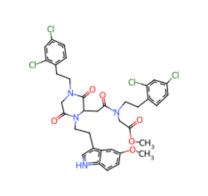 COC(=O)CN(CCc1ccc(Cl)cc1Cl)C(=O)CC1C(=O)N(CCc2ccc(Cl)cc2Cl)CC(=O)N1CCc1c[nH]c2ccc(OC)cc12